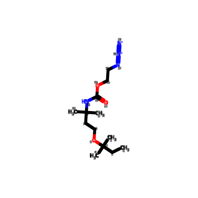 CCC(C)(C)OCCC(C)(C)NC(=O)OCCN=[N+]=[N-]